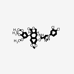 COc1cc([C@@H]2c3cc4c(cc3[C@@H](NC(=O)c3cn(-c5ccc(Cl)c(Cl)c5)nn3)[C@H]3COC(=O)[C@H]23)OCO4)cc(OC)c1OC